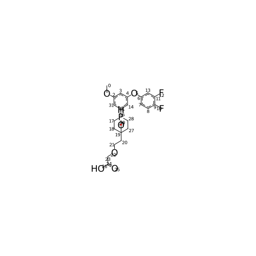 COc1cc(Oc2ccc(F)c(F)c2)cc([PH]23CCC(CCOCC(=O)O)(CC2)CO3)c1